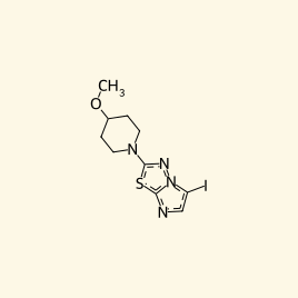 COC1CCN(c2nn3c(I)cnc3s2)CC1